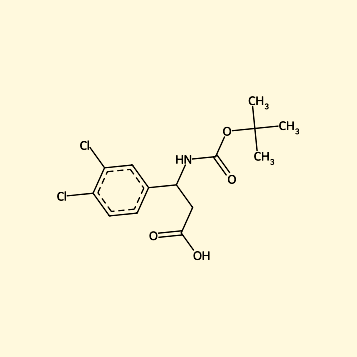 CC(C)(C)OC(=O)NC(CC(=O)O)c1ccc(Cl)c(Cl)c1